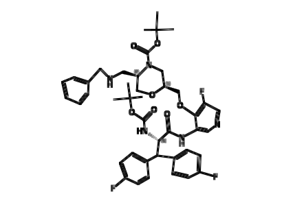 CC(C)(C)OC(=O)N[C@H](C(=O)Nc1cncc(F)c1OC[C@@H]1CN(C(=O)OC(C)(C)C)[C@H](CNCc2ccccc2)CO1)C(c1ccc(F)cc1)c1ccc(F)cc1